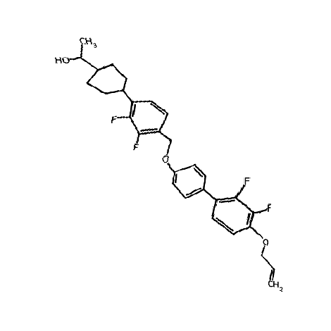 C=CCOc1ccc(-c2ccc(OCc3ccc(C4CCC(C(C)O)CC4)c(F)c3F)cc2)c(F)c1F